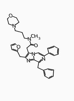 CN(CCCN1CCOCC1)C(=O)Cc1c(Cc2ccco2)nc2c(Cc3ccccc3)nc(-c3ccccc3)cn12